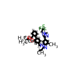 CCCc1nc2c(C)cc(-c3cn(CC(F)(F)F)cn3)cc2n1Cc1ccc(-c2ccccc2C(=O)OC(C)(C)C)cc1